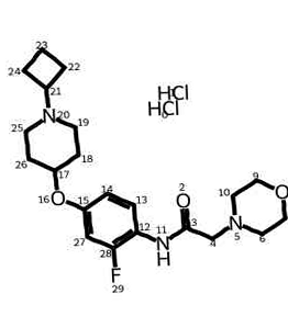 Cl.Cl.O=C(CN1CCOCC1)Nc1ccc(OC2CCN(C3CCC3)CC2)cc1F